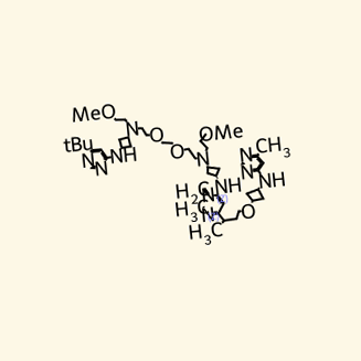 C=N/C(=C\C(=N/C)C(C)CCO[C@H]1C[C@@H](Nc2cc(C)ncn2)C1)N[C@H]1C[C@@H](N(CCOC)CCOCCOCCN(CCOC)[C@H]2C[C@H](Nc3cc(C(C)(C)C)ncn3)C2)C1